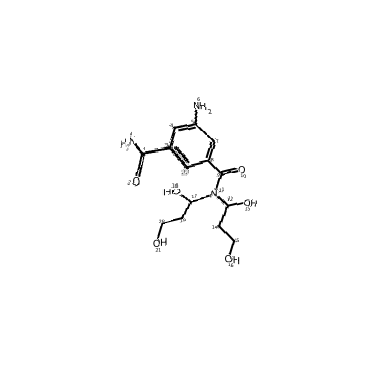 NC(=O)c1cc(N)cc(C(=O)N(C(O)CCO)C(O)CCO)c1